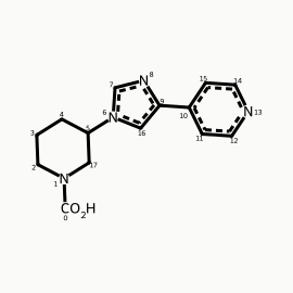 O=C(O)N1CCCC(n2cnc(-c3ccncc3)c2)C1